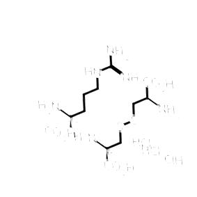 Cl.Cl.Cl.N=C(N)NCCC[C@H](N)C(=O)O.NC(CSSC[C@H](N)C(=O)O)C(=O)O